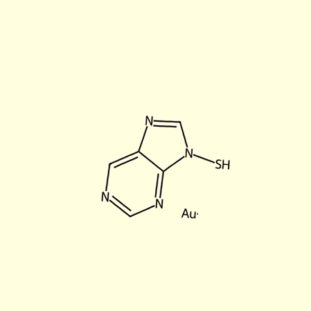 Sn1cnc2cncnc21.[Au]